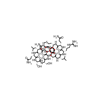 CSCC[C@H](NC(=O)[C@H](CCC(N)=O)NC(=O)[C@H](CCCNC(=N)N)NC(=O)[C@H](CC(C)C)NC(=O)[C@H](C)NC(=O)[C@H](CCCNC(=N)N)NC(=O)[C@H](CC(C)C)NC(=O)[C@H](CO)NC(=O)[C@H](CO)NC(=O)[C@H](CCC(N)=O)NC(=O)[C@H](CC(C)C)NC(=O)[C@@H](N)Cc1ccccc1)C(=O)O